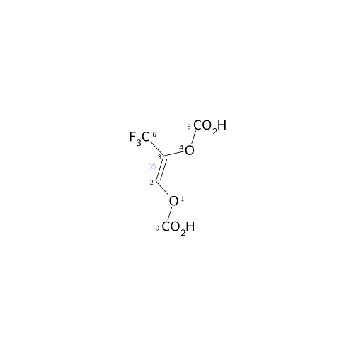 O=C(O)O/C=C(\OC(=O)O)C(F)(F)F